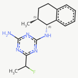 CC(F)c1nc(N)nc(N[C@H]2c3ccccc3CC[C@@H]2C)n1